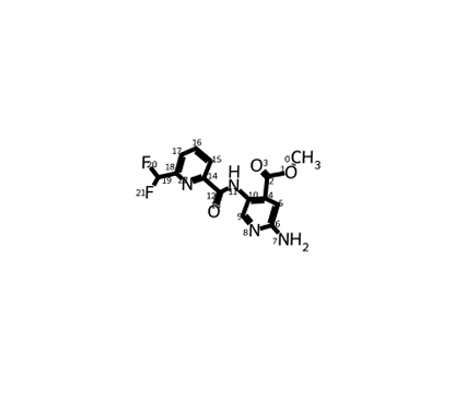 COC(=O)c1cc(N)ncc1NC(=O)c1cccc(C(F)F)n1